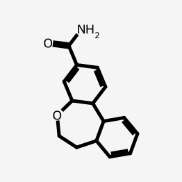 NC(=O)C1=CC2OCCC3C=CC=CC3C2C=C1